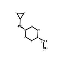 CC(C)(C)N[C@H]1CC[C@@H](NC2CC2)CC1